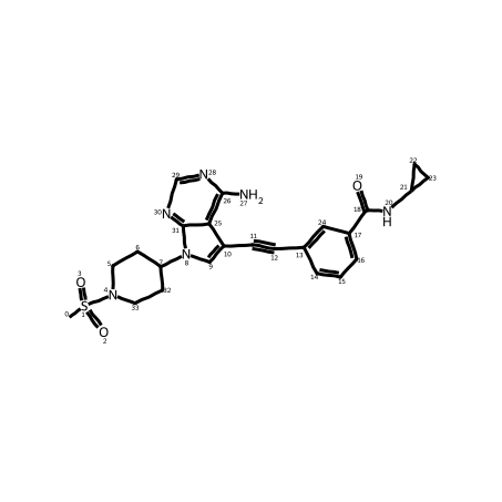 CS(=O)(=O)N1CCC(n2cc(C#Cc3cccc(C(=O)NC4CC4)c3)c3c(N)ncnc32)CC1